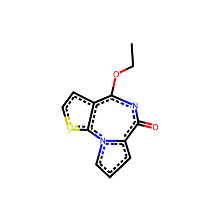 CCOc1nc(=O)c2cccn2c2sccc12